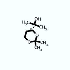 CC1(C)OCC[C@H](C(C)(C)O)O1